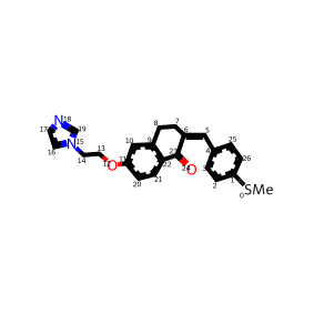 CSc1ccc(C=C2CCc3cc(OCCn4ccnc4)ccc3C2=O)cc1